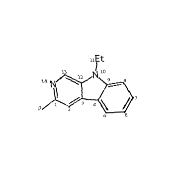 [CH2]c1cc2c3ccccc3n(CC)c2cn1